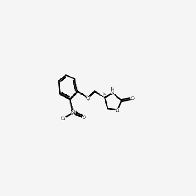 O=C1N[C@H](COc2ccccc2[N+](=O)[O-])CO1